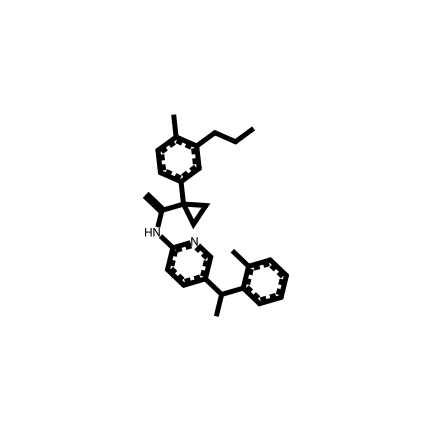 C=C(Nc1ccc(C(C)c2ccccc2C)cn1)C1(c2ccc(C)c(CCC)c2)CC1